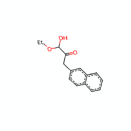 CCOC(O)C(=O)Cc1ccc2ccccc2c1